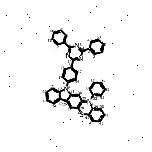 c1ccc(-c2nc(-c3ccccc3)nc(-c3ccc(-n4c5ccccc5c5cc6c(cc54)N(c4ccccc4)c4ccccc4S6)cc3)n2)cc1